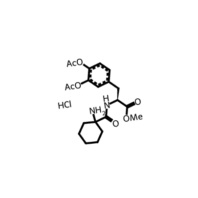 COC(=O)[C@H](Cc1ccc(OC(C)=O)c(OC(C)=O)c1)NC(=O)C1(N)CCCCC1.Cl